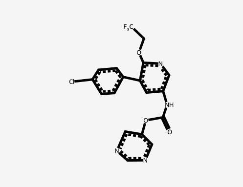 O=C(Nc1cnc(OCC(F)(F)F)c(-c2ccc(Cl)cc2)c1)Oc1cncnc1